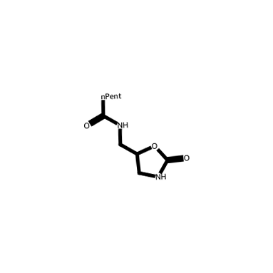 CCCCCC(=O)NCC1CNC(=O)O1